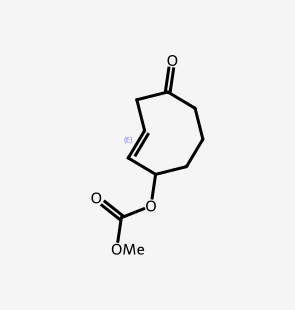 COC(=O)OC1/C=C/CC(=O)CCC1